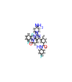 Cc1ccc(C(=O)Nc2ccc(F)cc2)cc1-c1nc(N2CCC(N)CC2)nc2c1ccc(=O)n2-c1c(F)cccc1F